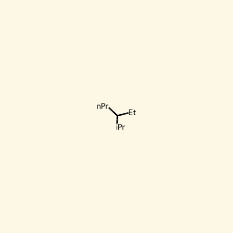 [CH2]CC(CCC)C(C)C